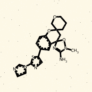 CN1OC2(CC3(CCCOC3)Oc3ccc(-c4cnc(-n5ccnc5)s4)cc32)N=C1N